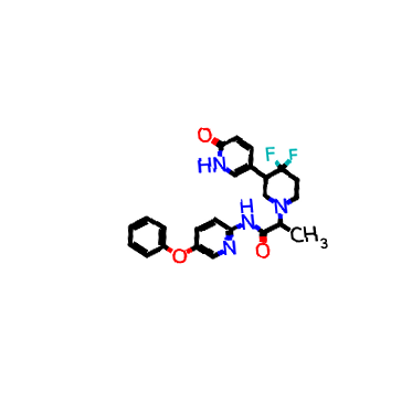 CC(C(=O)Nc1ccc(Oc2ccccc2)cn1)N1CCC(F)(F)C(c2ccc(=O)[nH]c2)C1